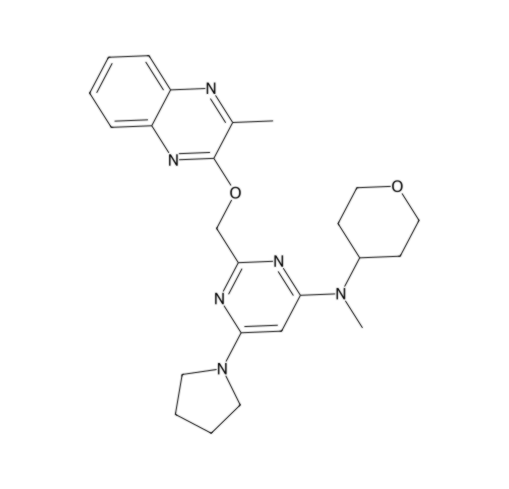 Cc1nc2ccccc2nc1OCc1nc(N2CCCC2)cc(N(C)C2CCOCC2)n1